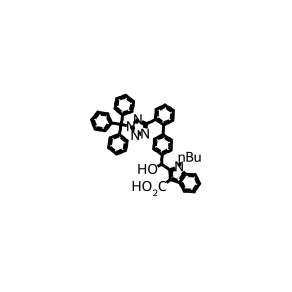 CCCCn1c(C(O)c2ccc(-c3ccccc3-c3nnn(C(c4ccccc4)(c4ccccc4)c4ccccc4)n3)cc2)c(C(=O)O)c2ccccc21